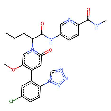 CCCC(C(=O)Nc1ccc(C(=O)NC)nc1)n1cc(OC)c(-c2cc(Cl)ccc2-n2cnnn2)cc1=O